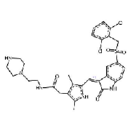 Cc1[nH]c(/C=C2\C(=O)Nc3ccc(S(=O)(=O)Cc4c(Cl)cccc4Cl)cc32)c(C)c1CC(=O)NCCN1CCNCC1